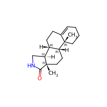 C[C@]12CCCC=C1CC[C@@H]1[C@H]2CC[C@]2(C)C(=O)NC[C@@H]12